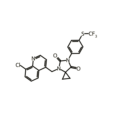 O=C1N(c2ccc(SC(F)(F)F)cc2)C(=O)C2(CC2)N1Cc1ccnc2c(Cl)cccc12